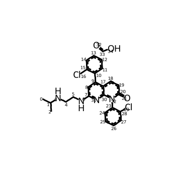 CC(C)NCCNc1cc(-c2ccccc2Cl)c2ccc(=O)n(-c3ccccc3Cl)c2n1.O=CO